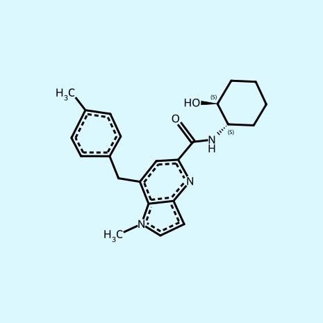 Cc1ccc(Cc2cc(C(=O)N[C@H]3CCCC[C@@H]3O)nc3ccn(C)c23)cc1